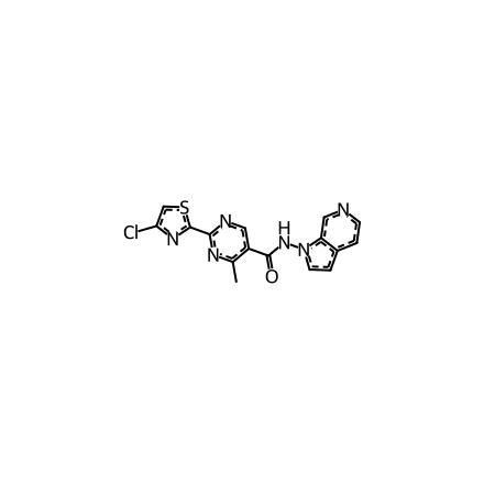 Cc1nc(-c2nc(Cl)cs2)ncc1C(=O)Nn1ccc2ccncc21